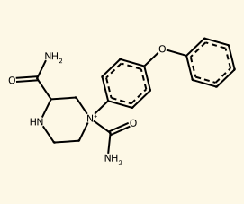 NC(=O)C1C[N+](C(N)=O)(c2ccc(Oc3ccccc3)cc2)CCN1